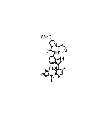 COc1nn(C)cc1Nc1ncc(C)c(-c2c[nH]c3c(NC(=O)[C@H]4C[C@H](OC)CN4C4CCN(C)CC4)cccc23)n1